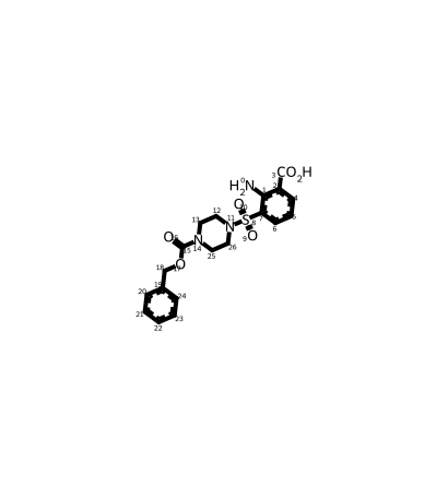 Nc1c(C(=O)O)cccc1S(=O)(=O)N1CCN(C(=O)OCc2ccccc2)CC1